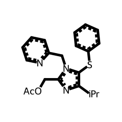 CC(=O)OCc1nc(C(C)C)c(Sc2ccccc2)n1Cc1ccccn1